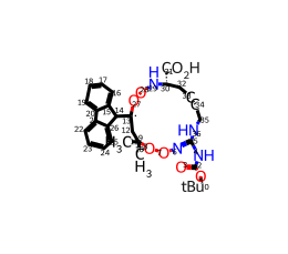 CC(C)(C)OC(=O)NC1=NOOC(C)(C)C[C](C2c3ccccc3-c3ccccc32)OON[C@H](C(=O)O)CCCCN1